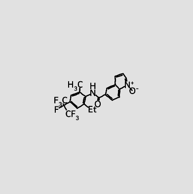 CCc1cc(C(F)(C(F)(F)F)C(F)(F)F)cc(C)c1NC(=O)c1ccc2c(ccc[n+]2[O-])c1